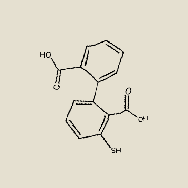 O=C(O)c1ccccc1-c1cccc(S)c1C(=O)O